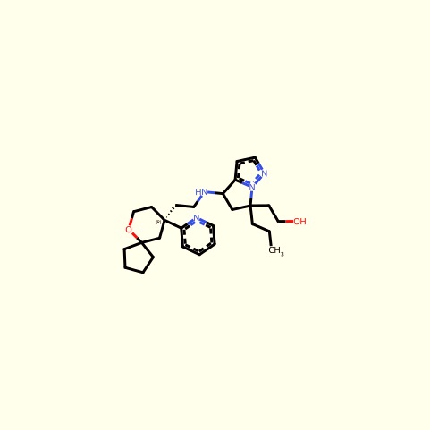 CCCC1(CCO)CC(NCC[C@@]2(c3ccccn3)CCOC3(CCCC3)C2)c2ccnn21